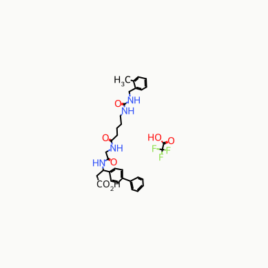 Cc1ccccc1CNC(=O)NCCCCC(=O)NCC(=O)NC(CC(=O)O)c1ccc(-c2ccccc2)cc1.O=C(O)C(F)(F)F